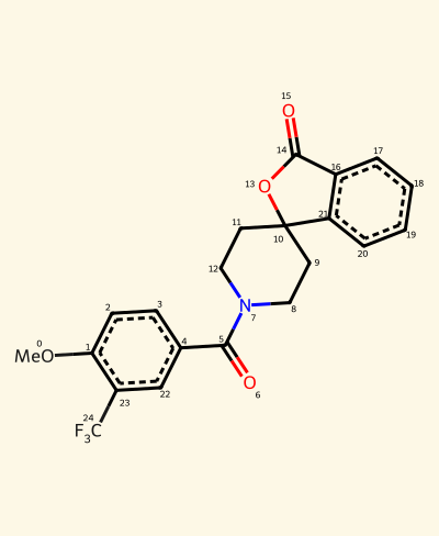 COc1ccc(C(=O)N2CCC3(CC2)OC(=O)c2ccccc23)cc1C(F)(F)F